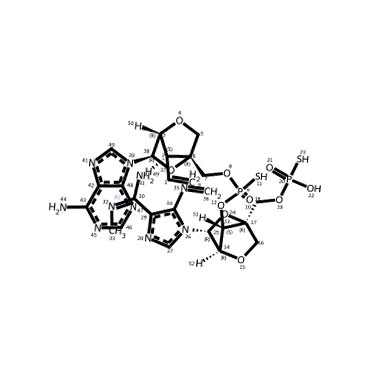 C=C[C@H]1[C@H]2OC[C@]1(COP(=O)(S)O[C@H]1[C@H]3OC[C@]1(COP(=O)(O)S)O[C@H]3n1cnc(/C(N)=N\C)c1N=C)O[C@H]2n1cnc2c(N)ncnc21